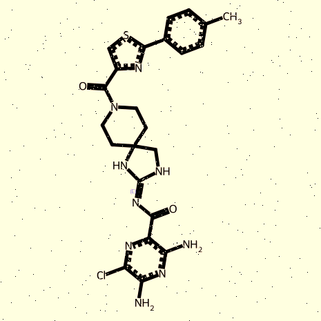 Cc1ccc(-c2nc(C(=O)N3CCC4(CC3)CN/C(=N\C(=O)c3nc(Cl)c(N)nc3N)N4)cs2)cc1